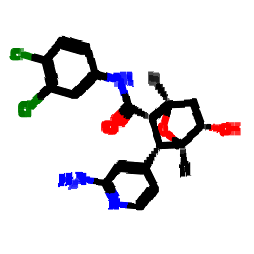 Nc1cc([C@H]2[C@H]3O[C@H](C[C@@H]3O)[C@H]2C(=O)Nc2ccc(Cl)c(Cl)c2)ccn1